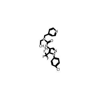 CCN(Cc1ccncc1)C(=O)Nc1cnn(-c2ccc(Cl)cc2)c1C(F)(F)F